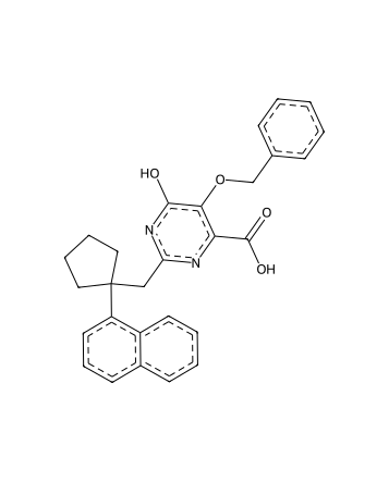 O=C(O)c1nc(CC2(c3cccc4ccccc34)CCCC2)nc(O)c1OCc1ccccc1